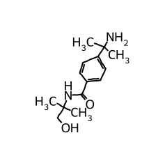 CC(C)(CO)NC(=O)c1ccc(C(C)(C)N)cc1